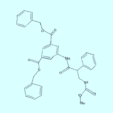 CC(C)(C)OC(=O)NCC(C(=O)Nc1cc(C(=O)OCc2ccccc2)cc(C(=O)OCc2ccccc2)c1)c1ccccc1